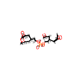 O=[PH](OCCC(CC1CO1)CC1CO1)OCCC(CC1CO1)CC1CO1